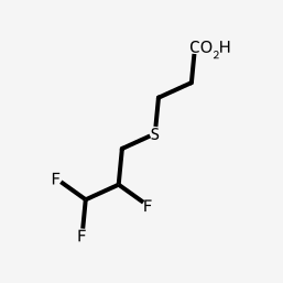 O=C(O)CCSCC(F)C(F)F